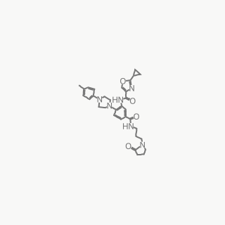 Cc1ccc(N2CCN(c3ccc(C(=O)NCCCN4CCCC4=O)cc3NC(=O)c3coc(C4CC4)n3)CC2)cc1